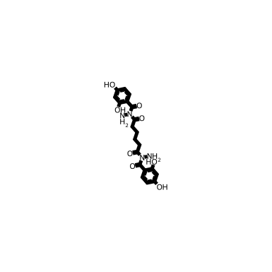 NN(C(=O)CCCCC(=O)N(N)C(=O)c1ccc(O)cc1O)C(=O)c1ccc(O)cc1O